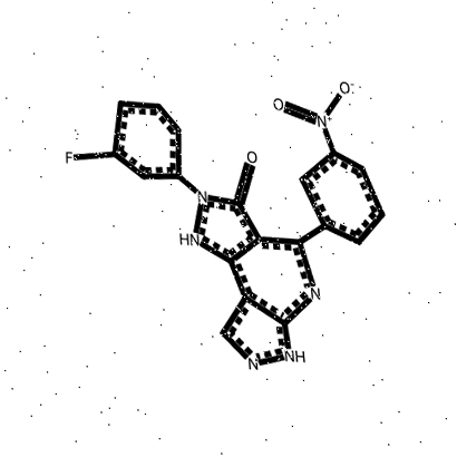 O=c1c2c(-c3cccc([N+](=O)[O-])c3)nc3[nH]ncc3c2[nH]n1-c1cccc(F)c1